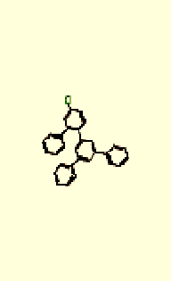 Clc1ccc(-c2cc(-c3ccccc3)cc(-c3ccccc3)c2)c(-c2ccccc2)c1